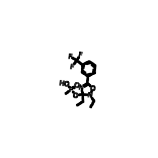 CCN1OC(c2cccc(C(F)(F)F)c2)=NC1(CC)OP(C)(=O)O